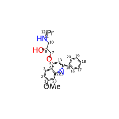 COc1ccc2c(OCC(O)CNC(C)C)cc(-c3ccccc3)nc2c1